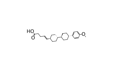 COc1ccc([C@H]2CC[C@H]([C@H]3CC[C@H](C=CCCC(=O)O)CC3)CC2)cc1